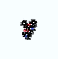 CCC1(C)CC(OC(=O)C(Cc2ccccc2)(C(=O)OCc2ccccc2)C2CC(C)(CC)N(C)C(C)(CC)C2C)C(C)C(C)(CC)N1C